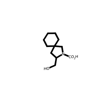 O=C(O)N1CC2(CCCCC2)CC1CO